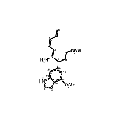 C=C/C=C\C=C(/N)C(CCNC)c1cc(OC)c2cc[nH]c2c1